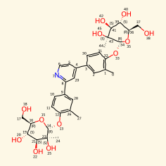 Cc1cc(-c2ccnc(-c3ccc(O[C@H]4O[C@H](CO)[C@@H](O)[C@H](O)[C@]4(C)O)c(C)c3)c2)ccc1O[C@H]1O[C@H](CO)[C@@H](O)[C@H](O)[C@]1(C)O